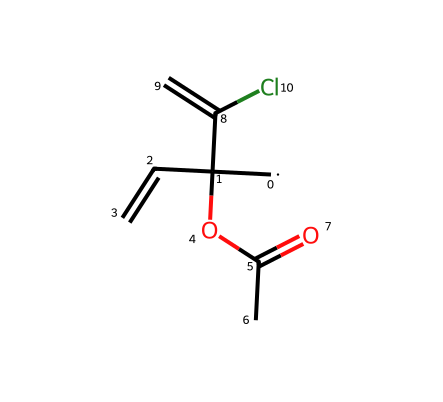 [CH2]C(C=C)(OC(C)=O)C(=C)Cl